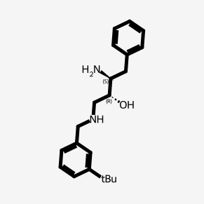 CC(C)(C)c1cccc(CNC[C@@H](O)[C@@H](N)Cc2ccccc2)c1